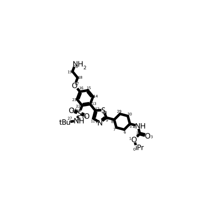 CC(C)OC(=O)NC1CCC(c2ncc(-c3ccc(OCCN)cc3S(=O)(=O)NC(C)(C)C)s2)CC1